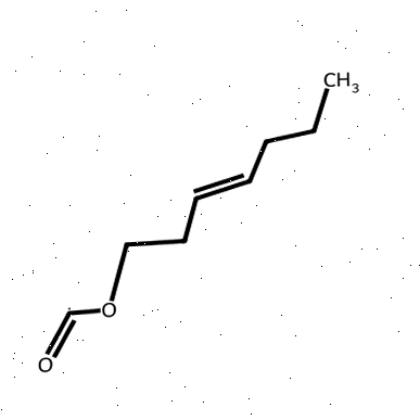 CCC/C=C/CCO[C]=O